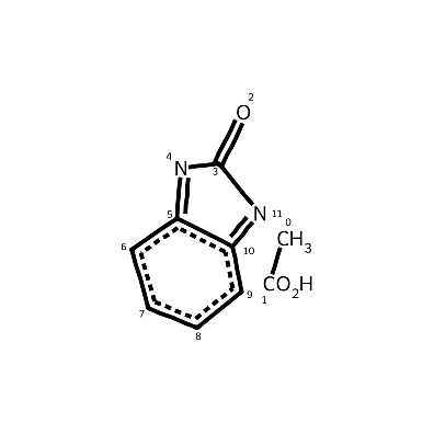 CC(=O)O.O=C1N=c2ccccc2=N1